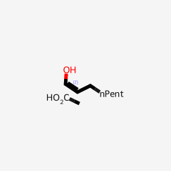 CC(=O)O.CCCCCC/C=C\O